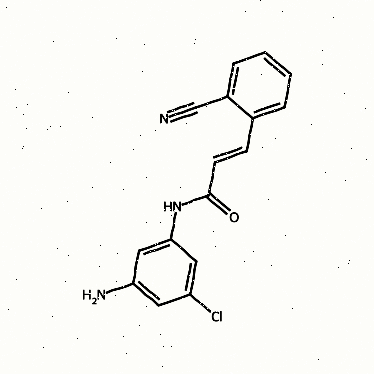 N#Cc1ccccc1/C=C/C(=O)Nc1cc(N)cc(Cl)c1